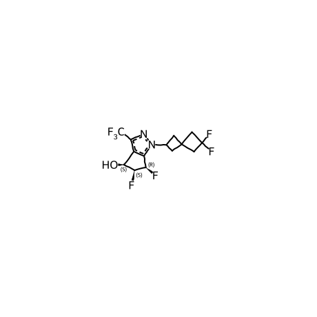 O[C@H]1c2c(C(F)(F)F)nn(C3CC4(C3)CC(F)(F)C4)c2[C@@H](F)[C@H]1F